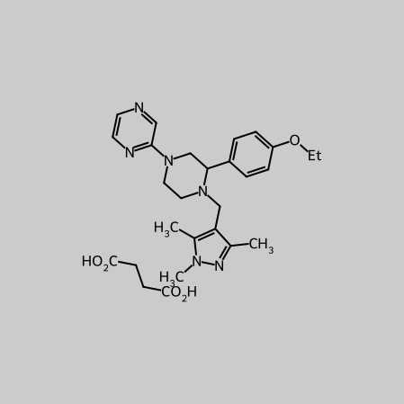 CCOc1ccc(C2CN(c3cnccn3)CCN2Cc2c(C)nn(C)c2C)cc1.O=C(O)CCC(=O)O